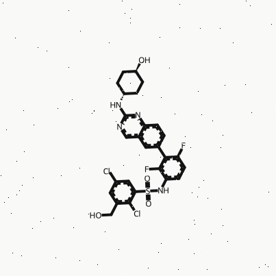 O=S(=O)(Nc1ccc(F)c(-c2ccc3nc(N[C@H]4CC[C@H](O)CC4)ncc3c2)c1F)c1cc(Cl)cc(CO)c1Cl